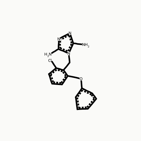 Nc1nnc(N)n1Cc1c(Cl)cccc1Oc1ccccc1